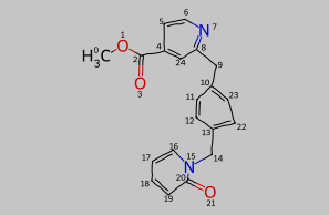 COC(=O)c1ccnc(Cc2ccc(Cn3ccccc3=O)cc2)c1